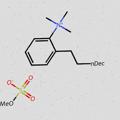 CCCCCCCCCCCCc1ccccc1[N+](C)(C)C.COS(=O)(=O)[O-]